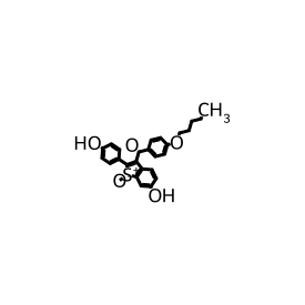 CCCCCOc1ccc(C(=O)c2c(-c3ccc(O)cc3)[s+]([O-])c3cc(O)ccc23)cc1